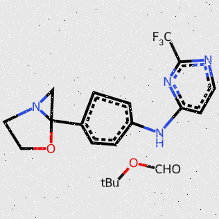 CC(C)(C)OC=O.FC(F)(F)c1nccc(Nc2ccc(C34CN3CCO4)cc2)n1